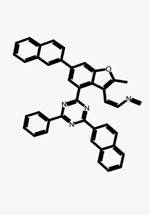 C=N/C=C\c1c(C)oc2cc(-c3ccc4ccccc4c3)cc(-c3nc(-c4ccccc4)nc(-c4ccc5ccccc5c4)n3)c12